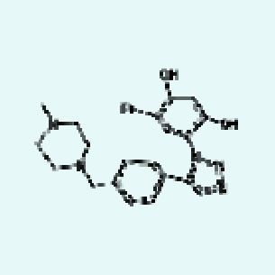 CC(C)c1cc(-n2nncc2-c2ccc(CN3CCN(C)CC3)cc2)c(O)cc1O